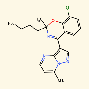 CCCCC1(C)N=C(c2cnn3c(C)ccnc23)c2cccc(Cl)c2O1